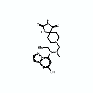 CN(CN1CCC2(CC1)NC(=O)NC2=O)N(CC(C)(C)C)c1cc(C#N)nc2ccnn12